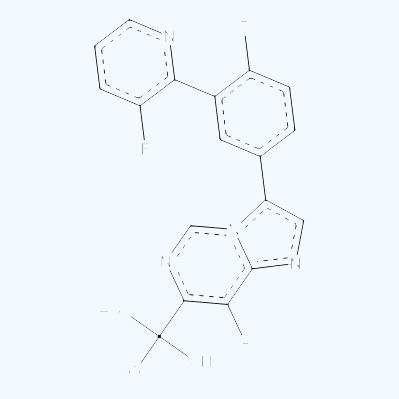 CC(C)(O)c1ncn2c(-c3ccc(F)c(-c4ncccc4F)c3)cnc2c1F